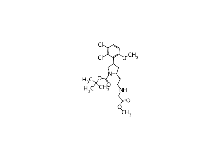 COC(=O)CNCC[C@@H]1C[C@H](c2c(OC)ccc(Cl)c2Cl)CN1C(=O)OC(C)(C)C